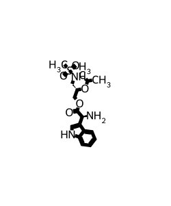 CC(C)O[C@@H](CNS(C)(=O)=O)COC(=O)[C@@H](N)c1c[nH]c2ccccc12